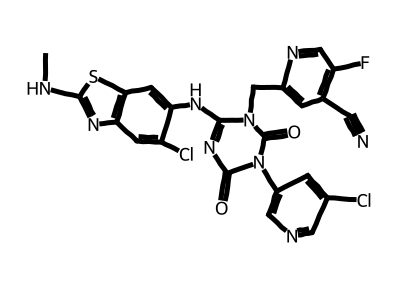 CNc1nc2cc(Cl)c(Nc3nc(=O)n(-c4cncc(Cl)c4)c(=O)n3Cc3cc(C#N)c(F)cn3)cc2s1